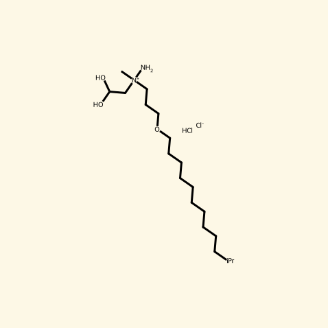 CC(C)CCCCCCCCCCOCCC[N+](C)(N)CC(O)O.Cl.[Cl-]